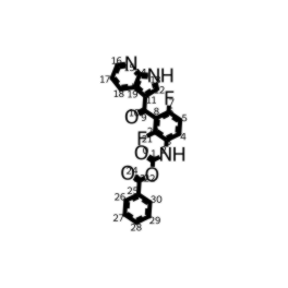 O=C(Nc1ccc(F)c(C(=O)c2c[nH]c3ncccc23)c1F)OC(=O)c1ccccc1